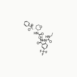 CCNC(=O)Nc1ccc(C(F)(F)F)cc1C(=O)NCC(=O)N[C@H]1COCC[C@H]1CS(=O)(=O)c1ccccc1